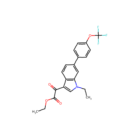 CCOC(=O)C(=O)c1cn(CC)c2cc(-c3ccc(OC(F)(F)F)cc3)ccc12